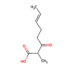 C/C=C/CCC(=O)C(C)C(=O)O